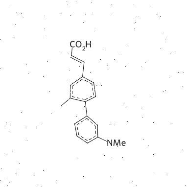 CNc1cccc(-c2ccc(/C=C/C(=O)O)cc2C)c1